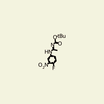 C/C(=N\C(=O)OC(C)(C)C)Nc1ccc(F)c([N+](=O)[O-])c1